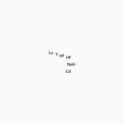 F.F.[Gd].[Lu].[NaH].[Y]